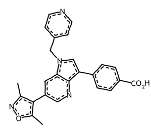 Cc1noc(C)c1-c1cnc2c(-c3ccc(C(=O)O)cc3)cn(Cc3ccncc3)c2c1